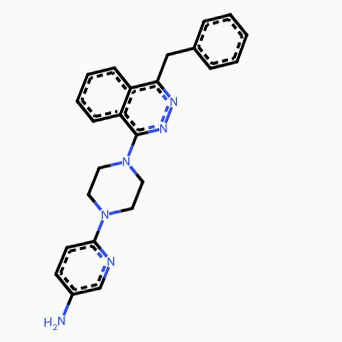 Nc1ccc(N2CCN(c3nnc(Cc4ccccc4)c4ccccc34)CC2)nc1